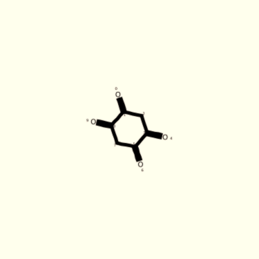 O=C1CC(=O)C(=O)CC1=O